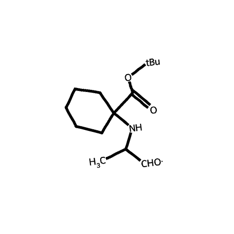 CC([C]=O)NC1(C(=O)OC(C)(C)C)CCCCC1